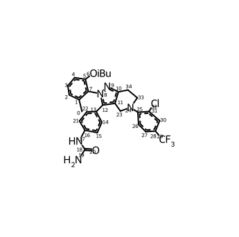 Cc1cccc(OCC(C)C)c1-n1nc2c(c1-c1ccc(NC(N)=O)cc1)CN(c1ccc(C(F)(F)F)cc1Cl)CC2